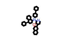 c1ccc(-c2ccc(N(c3ccc(-c4ccccc4)c4ccccc34)c3nccc4c3oc3cc5ccccc5cc34)cc2)cc1